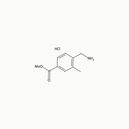 COC(=O)c1ccc(CN)c(C)c1.Cl